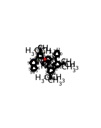 CC(C)(C)c1cc(N(c2ccccc2)c2ccccc2)c2c(c1)c1cc(C(C)(C)C)cc3c4nc5c(cc4n2c13)c1cc(C(C)(C)C)cc2c3ccc4ccccc4c3n5c12